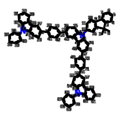 CC1(C)c2ccccc2-c2ccc(-n3c4ccc(-c5ccc(-c6ccc7c(c6)c6ccccc6n7-c6ccccc6)cc5)cc4c4cc(-c5ccc(-c6ccc7c(c6)c6ccccc6n7-c6ccccc6)cc5)ccc43)cc21